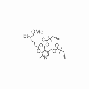 C#CCC(C)(C)C(=O)OCc1cnc(C)c(OC(=O)CCCC(CC)COC)c1COC(=O)C(C)(C)CC#C